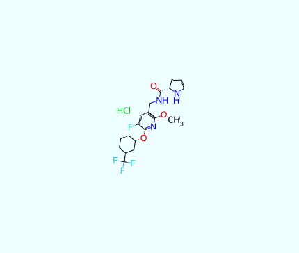 COc1nc(O[C@H]2CCC[C@H](C(F)(F)F)C2)c(F)cc1CNC(=O)[C@@H]1CCCN1.Cl